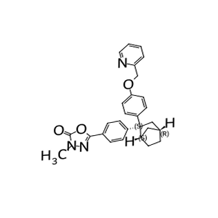 Cn1nc(-c2ccc([C@]3(c4ccc(OCc5ccccn5)cc4)C[C@@H]4CC[C@H]3C4)cc2)oc1=O